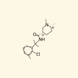 Cc1cccc(C(C)(C)NC(=O)[C@H]2CC[C@@H](C)N(C)C2)c1Cl